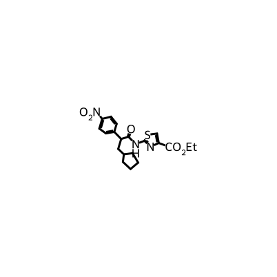 CCOC(=O)c1csc(NC(=O)C(CC2CCCC2)c2ccc([N+](=O)[O-])cc2)n1